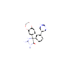 CN1C(=O)C(c2cccc(-c3cncnc3)c2)(c2ccc3c(c2)OCCO3)N=C1N